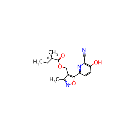 CC[C@@H](C)C(=O)OCc1c(C)noc1-c1ccc(O)c(C#N)n1